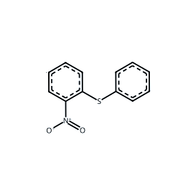 O=[N+]([O-])c1c[c]ccc1Sc1ccccc1